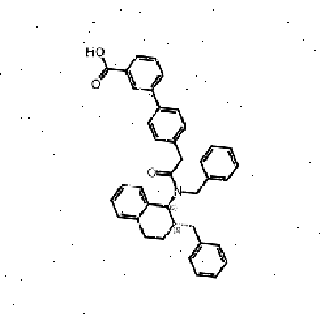 O=C(O)c1cccc(-c2ccc(CC(=O)N(Cc3ccccc3)[C@@H]3c4ccccc4CC[C@H]3Cc3ccccc3)cc2)c1